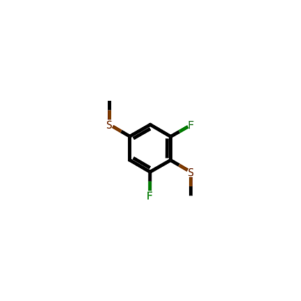 CSc1cc(F)c(SC)c(F)c1